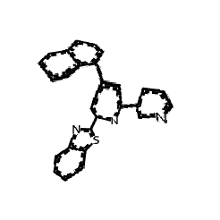 c1cncc(-c2cc(-c3cccc4ccccc34)cc(-c3nc4ccccc4s3)n2)c1